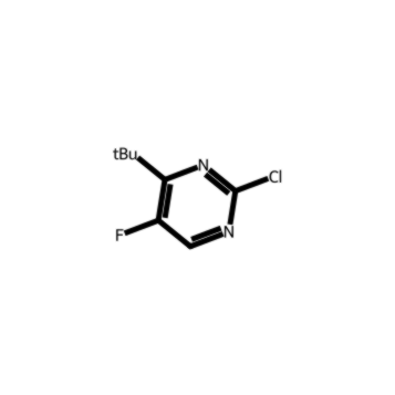 CC(C)(C)c1nc(Cl)ncc1F